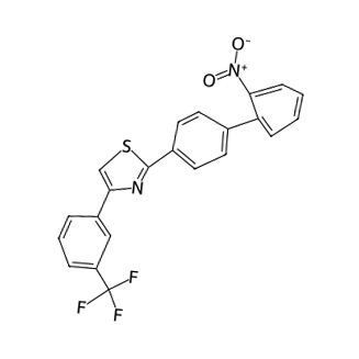 O=[N+]([O-])c1ccccc1-c1ccc(-c2nc(-c3cccc(C(F)(F)F)c3)cs2)cc1